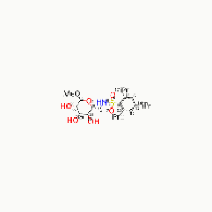 CO[C@H]1O[C@H](CNS(=O)(=O)c2c(C(C)C)cc(C(C)C)cc2C(C)C)[C@@H](O)[C@H](O)[C@@H]1O